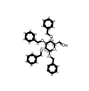 OC[C@H]1O[C@@H](OCc2ccccc2)[C@H](OCc2ccccc2)[C@@H](OCc2ccccc2)[C@@H]1OCc1ccccc1